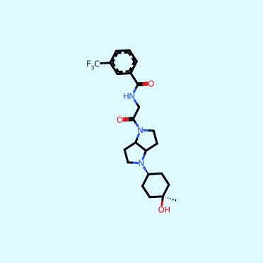 C[C@]1(O)CC[C@@H](N2CCC3C2CCN3C(=O)CNC(=O)c2cccc(C(F)(F)F)c2)CC1